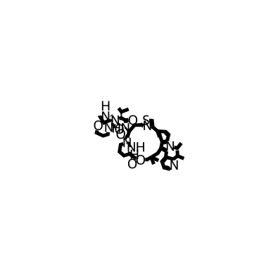 CCn1c(-c2cccnc2C(C)C)c2c3cc(ccc31)-c1csc(n1)C[C@H](NC(=O)[C@H](C(C)C)N(C)C(=O)N1CCCOC13CNC3)C(=O)N1CCC[C@H](N1)C(=O)OCC(C)(C)C2